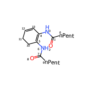 CCCCCC(=O)NC1=C(NC(=O)CCCCC)CCC=C1